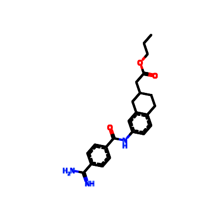 CCCOC(=O)CC1CCc2ccc(NC(=O)c3ccc(C(=N)N)cc3)cc2C1